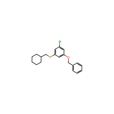 Brc1cc(OCc2ccccc2)cc(SCC2CCCCC2)c1